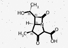 C[C@@H]1C(=O)C(C(=O)O)N2C(=O)[C@H]([C@@H](C)O)[C@H]12